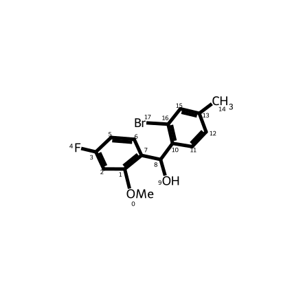 COc1cc(F)ccc1C(O)c1ccc(C)cc1Br